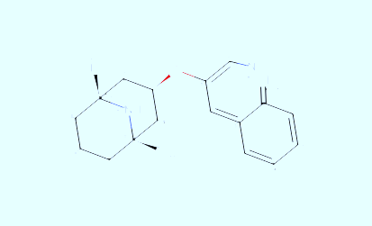 C=c1cccc/c1=C/C(=C\N)O[C@@H]1C[C@H]2CCC[C@@H](C1)N2